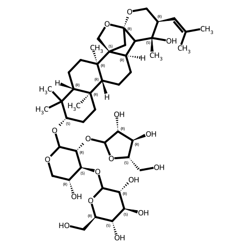 CC(C)=C[C@@H]1CO[C@]23C[C@]4(CO2)[C@H](CC[C@@H]2[C@@]5(C)CC[C@H](OC6OC[C@@H](O)[C@H](OC7O[C@H](CO)[C@@H](O)[C@H](O)[C@H]7O)[C@H]6OC6O[C@@H](CO)[C@H](O)[C@H]6O)C(C)(C)[C@@H]5CC[C@]24C)C3[C@@]1(C)O